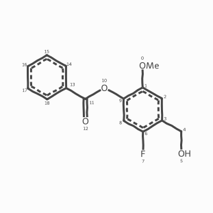 COc1cc(CO)c(F)cc1OC(=O)c1ccccc1